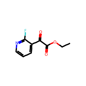 CCOC(=O)C(=O)c1cccnc1F